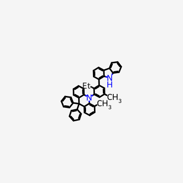 CCc1c(-c2cccc3c2[nH]c2ccccc23)cc(C)cc1N1c2ccccc2C(c2ccccc2)(c2ccccc2)c2cccc(C)c21